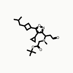 CC(C)CC1CC(c2onc(C(CC=O)N(C)CC(=O)OC(C)(C)C)c2C2CC2)C1